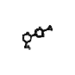 CC1CCO[C@@H](c2cnc(C3CC3)nc2)C1